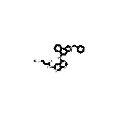 O=C(O)C=CC(=O)Nc1cc2c(Nc3cc4nn(Cc5ccccc5)cc4c4ccccc34)ncnc2cn1